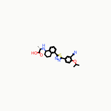 CC(C)Oc1ccc(-c2nnc(-c3cccc4c3CCCC4N[C@@H](C)C(=O)O)s2)cc1C#N